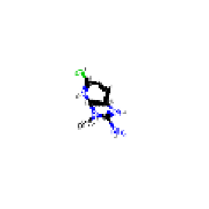 CCCn1c(N)nc2ccc(Cl)nc21